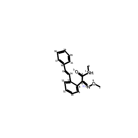 CNC(=O)/C(=N\OC)c1ccccc1C=Cc1ccccc1